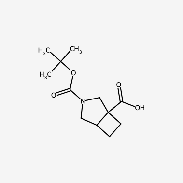 CC(C)(C)OC(=O)N1CC2CCC2(C(=O)O)C1